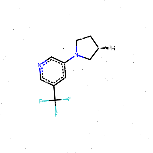 [2H][C@@H]1CCN(c2cncc(C(F)(F)F)c2)C1